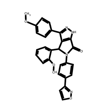 COc1ccc(-c2n[nH]c3c2C(c2ccccc2OC)N(c2ccc(-c4ccon4)cc2)C3=O)cc1